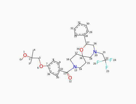 COC(C)(C)COc1ccc(C(=O)N2CCC3(CC2)CN(CC(F)(F)F)CC(c2ccccc2)O3)cc1